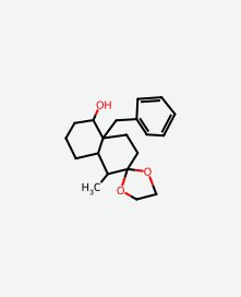 CC1C2CCCC(O)C2(Cc2ccccc2)CCC12OCCO2